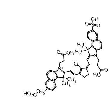 CC1(C)C(=CC=C2CCC(C=CC3=[N+](CCC(=O)O)c4ccc5cc(SOOO)ccc5c4C3(C)C)=C2Cl)N(CCC(=O)O)c2ccc3cc(S(=O)(=O)O)ccc3c21